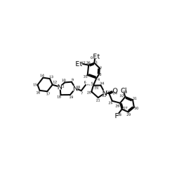 CCc1ccc([C@]2(CCN3CCN(C4CCCCC4)CC3)CCN(C(=O)Cc3c(F)cccc3Cl)C2)cc1CC